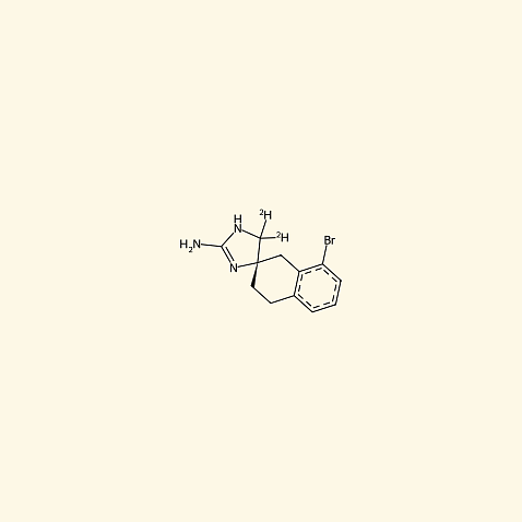 [2H]C1([2H])NC(N)=N[C@]12CCc1cccc(Br)c1C2